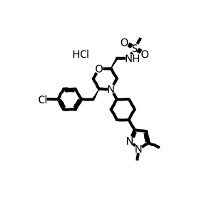 Cc1cc(C2CCC(N3C[C@H](CNS(C)(=O)=O)OC[C@@H]3Cc3ccc(Cl)cc3)CC2)nn1C.Cl